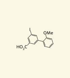 COc1ccccc1-c1cc(I)cc(C(=O)O)c1